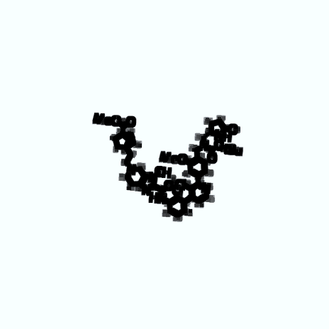 COC(=O)C12CCC(CCN3CCc4nc(C(=O)Nc5cccc(-c6ccnc(-c7ccc(CN(C[C@@H]8CCC(=O)N8)C(=O)OC(C)(C)C)c(OC)c7)c6Cl)c5Cl)n(C)c4C3)(CC1)C2